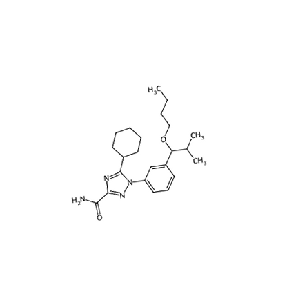 CCCCOC(c1cccc(-n2nc(C(N)=O)nc2C2CCCCC2)c1)C(C)C